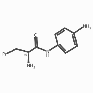 CC(C)C[C@H](N)C(=O)Nc1ccc(N)cc1